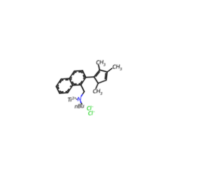 CCCC[N]([Ti+2])Cc1c(C2=C(C)C(C)=CC2C)ccc2ccccc12.[Cl-].[Cl-]